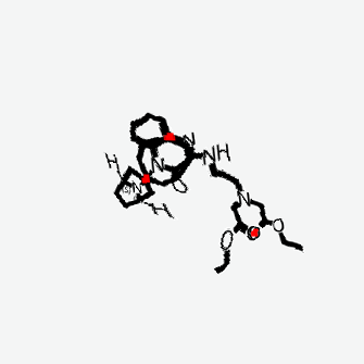 CCOC(=O)CN(CCNc1nc2ccccc2n([C@H]2C[C@H]3CC[C@@H](C2)N3C2CCCCCCC2)c1=O)CC(=O)OCC